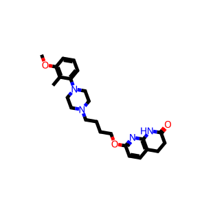 COc1cccc(N2CCN(CCCCOc3ccc4c(n3)NC(=O)CC4)CC2)c1C